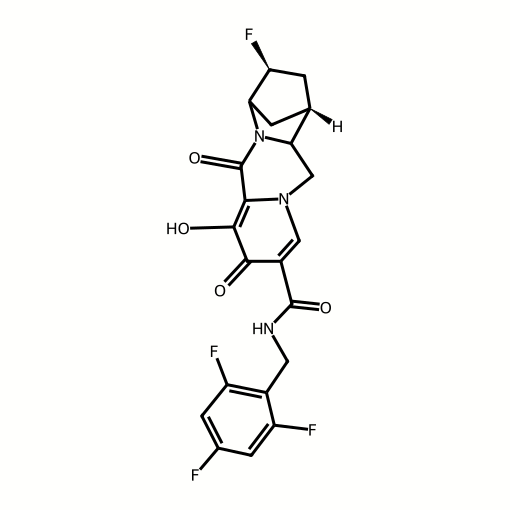 O=C(NCc1c(F)cc(F)cc1F)c1cn2c(c(O)c1=O)C(=O)N1C(C2)[C@@H]2CC1[C@@H](F)C2